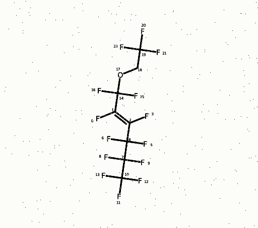 FC(=C(F)C(F)(F)C(F)(F)C(F)(F)F)C(F)(F)OCC(F)(F)F